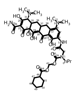 CCCN(CC(=O)Nc1cc(N(C)C)c2c(c1O)C(=O)C1=C(O)[C@]3(O)C(=O)C(C(N)=O)=C(O)[C@@H](N(C)C)C3CC1C2)C(=O)OCOC(=O)C1CCCCC1